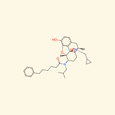 CC(C)CN(C(=O)CCCCCc1ccccc1)[C@@H]1CC[C@@]2(O)[C@H]3Cc4ccc(O)c5c4[C@@]2(CCN3CC2CC2)[C@H]1O5